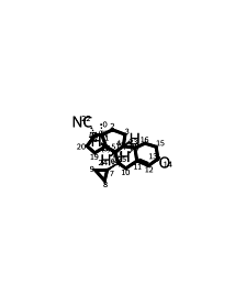 C[C@]12CC[C@H]3[C@@H]([C@H](C4CC4)CC4=CC(=O)CC[C@@H]43)[C@@H]1CC[C@@H]2C#N